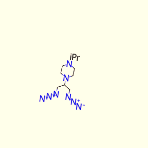 CC(C)N1CCN(C(CN=[N+]=[N-])CN=[N+]=[N-])CC1